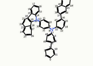 c1ccc(-c2ccc(N(c3ccc(-n4c5ccccc5c5ccc6ccccc6c54)cc3)c3cccc(-c4ccc5ccccc5c4)c3)cc2)cc1